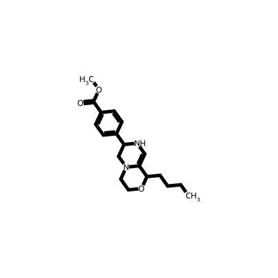 CCCCC1OCCN2CC(c3ccc(C(=O)OC)cc3)NC=C12